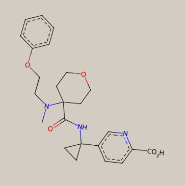 CN(CCOc1ccccc1)C1(C(=O)NC2(c3ccc(C(=O)O)nc3)CC2)CCOCC1